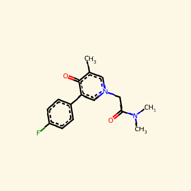 Cc1cn(CC(=O)N(C)C)cc(-c2ccc(F)cc2)c1=O